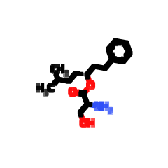 CC(C)CC[C@H](CCc1ccccc1)OC(=O)C(N)CO